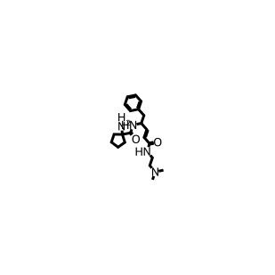 CN(C)CCNC(=O)C=CC(Cc1ccccc1)NC(=O)C1(N)CCCC1